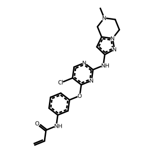 C=CC(=O)Nc1cccc(Oc2nc(Nc3cc4n(n3)CCN(C)C4)ncc2Cl)c1